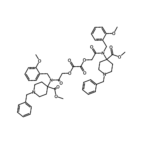 COC(=O)C1(N(Cc2ccccc2OC)C(=O)COC(=O)C(=O)OCC(=O)N(Cc2ccccc2OC)C2(C(=O)OC)CCN(Cc3ccccc3)CC2)CCN(Cc2ccccc2)CC1